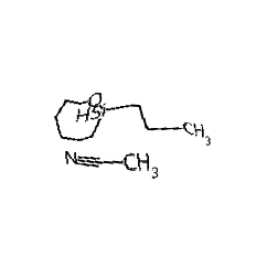 CC#N.CCC[SiH]1CCCCO1